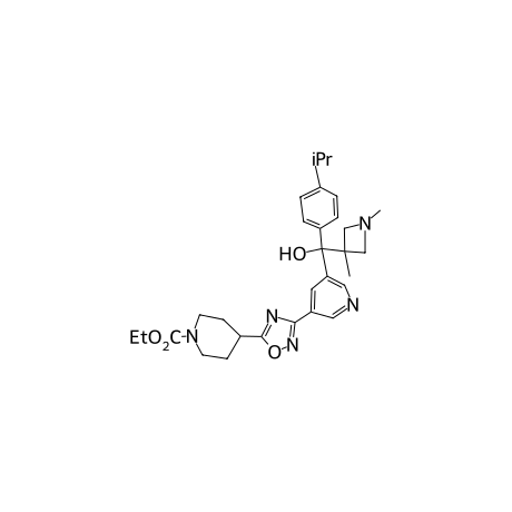 CCOC(=O)N1CCC(c2nc(-c3cncc(C(O)(c4ccc(C(C)C)cc4)C4(C)CN(C)C4)c3)no2)CC1